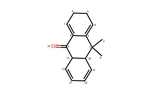 CC1(C)C2=CCCC=C2C(=O)C2C=CC=CC21